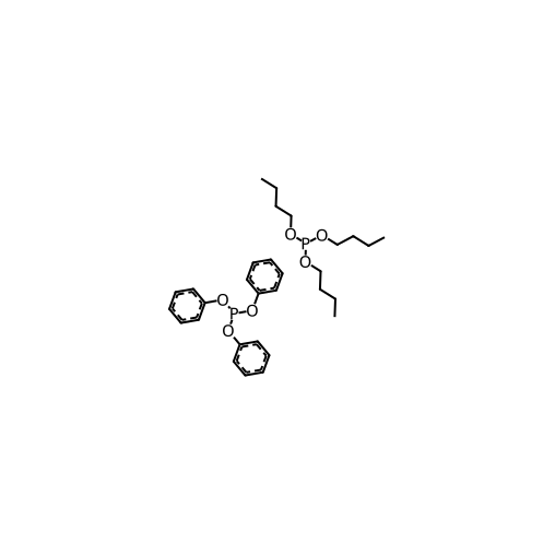 CCCCOP(OCCCC)OCCCC.c1ccc(OP(Oc2ccccc2)Oc2ccccc2)cc1